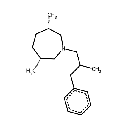 CC(Cc1ccccc1)CN1C[C@H](C)CC[C@H](C)C1